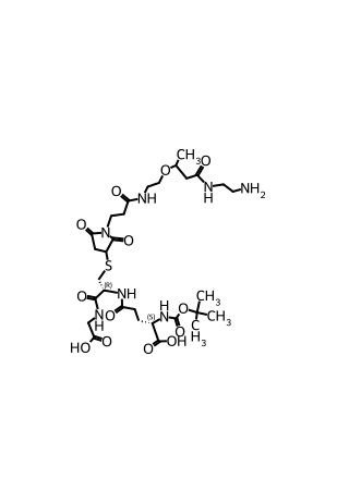 CC(CC(=O)NCCN)OCCNC(=O)CCN1C(=O)CC(SC[C@H](NC(=O)CC[C@H](NC(=O)OC(C)(C)C)C(=O)O)C(=O)NCC(=O)O)C1=O